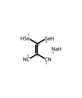 N#CC(C#N)=C([SeH])[SeH].[NaH]